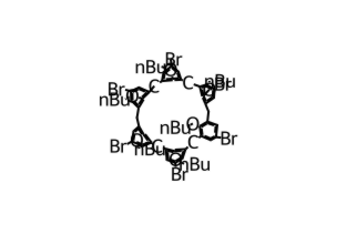 CCCCOc1c2cc(Br)cc1Cc1cc(Br)cc(c1OCCCC)Cc1cc(Br)cc(c1OCCCC)Cc1cc(Br)cc(c1OCCCC)Cc1cc(Br)cc(c1OCCCC)Cc1cc(Br)cc(c1OCCCC)C2